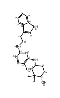 CC1(C)C[C@H](Nc2nc(NCCc3n[nH]c4ccccc34)ncc2C#N)CC[C@@H]1O